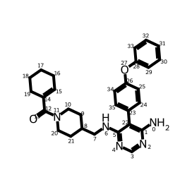 Nc1ncnc(NCC2CCN(C(=O)C3=CCCCC3)CC2)c1-c1ccc(Oc2ccccc2)cc1